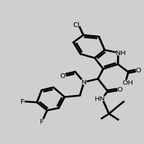 CC(C)(C)NC(=O)C(c1c(C(=O)O)[nH]c2cc(Cl)ccc12)N(C=O)Cc1ccc(F)c(F)c1